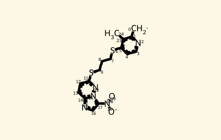 [CH2]c1nccc(SCCCSc2ccc3ncc([N+](=O)[O-])n3n2)c1C